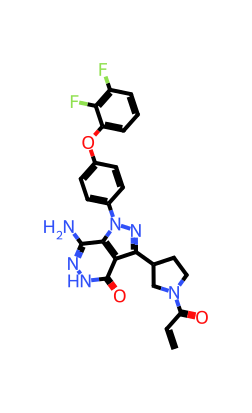 C=CC(=O)N1CCC(c2nn(-c3ccc(Oc4cccc(F)c4F)cc3)c3c(N)n[nH]c(=O)c23)C1